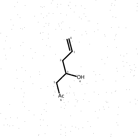 C=CCC(O)CC(C)=O